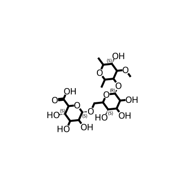 COC1C(O[C@H]2OC(CO[C@H]3OC(C(=O)O)[C@@H](O)C(O)C3O)[C@@H](O)C(O)C2O)C(C)OC(C)[C@@H]1O